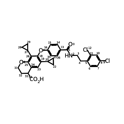 O=C(NCCc1ccc(Cl)cc1Cl)c1ccc(Oc2c(C3CC3)cc3c(c2C2CC2)OCCC3C(=O)O)cc1